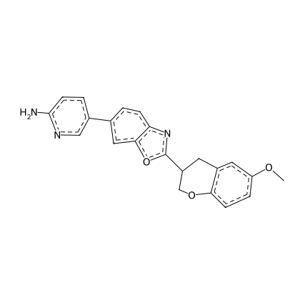 COc1ccc2c(c1)CC(c1nc3ccc(-c4ccc(N)nc4)cc3o1)CO2